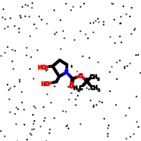 CC(C)(C)OC(=O)N1CCC(O)C1CO